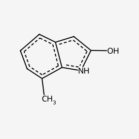 Cc1cccc2cc(O)[nH]c12